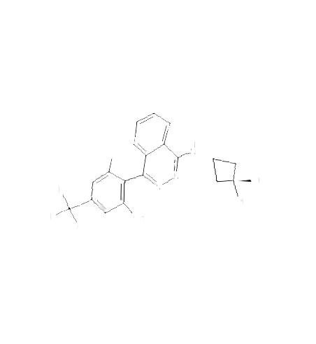 Cc1cc(C(F)(F)F)cc(O)c1-c1nnc(N[C@H]2C[C@@](C)(O)C2)c2ccccc12